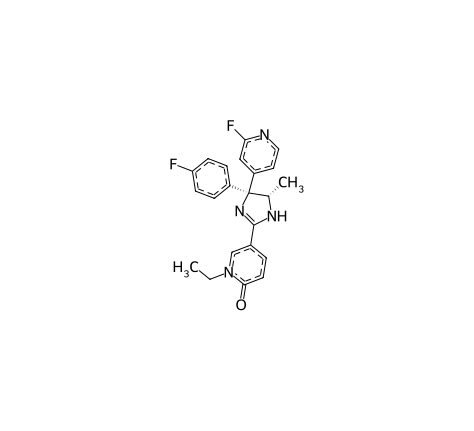 CCn1cc(C2=N[C@@](c3ccc(F)cc3)(c3ccnc(F)c3)[C@H](C)N2)ccc1=O